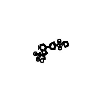 O=Cc1cc2c(-c3ccc(S(=O)(=O)N4CCCC4)cc3)ccnc2n1[SH](=O)=O